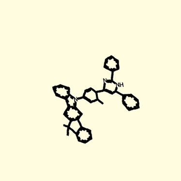 CC1C=C(n2c3ccccc3c3cc4c(cc32)-c2ccccc2C4(C)C)C=CC1C1=CC(c2ccccc2)NC(c2ccccc2)=N1